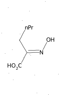 CCCC/C(=N\O)C(=O)O